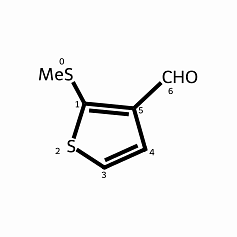 CSc1sccc1C=O